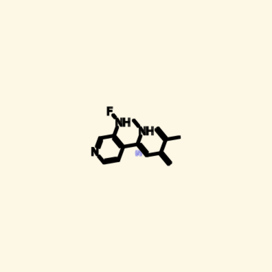 C=C(C)C(=C)/C=C(\NC)c1ccncc1NF